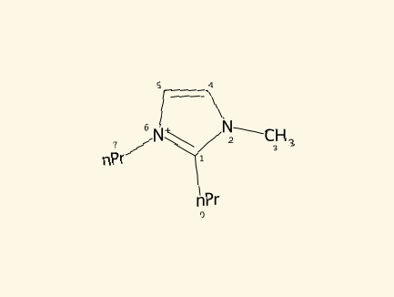 CCCc1n(C)cc[n+]1CCC